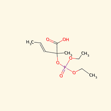 CC=CC(C)(OP(=O)(OCC)OCC)C(=O)O